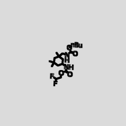 CCCCOC(=O)NCC1(C)CC(NC(=O)OCC(F)F)CC(C)(C)C1